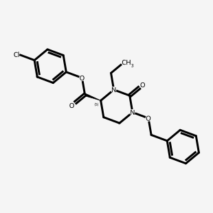 CCN1C(=O)N(OCc2ccccc2)CC[C@H]1C(=O)Oc1ccc(Cl)cc1